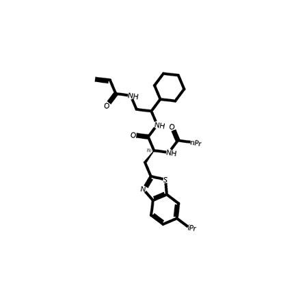 C=CC(=O)NCC(NC(=O)[C@H](Cc1nc2ccc(C(C)C)cc2s1)NC(=O)CCC)C1CCCCC1